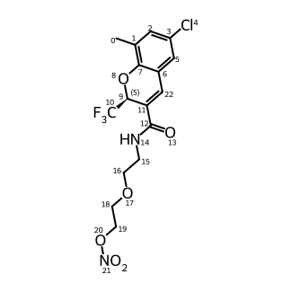 Cc1cc(Cl)cc2c1O[C@H](C(F)(F)F)C(C(=O)NCCOCCO[N+](=O)[O-])=C2